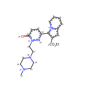 CCOC(=O)c1cc2ccccn2c1-c1ccc(=O)n(CCN2CCN(C)CC2)n1